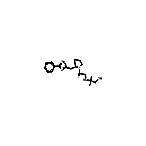 CC(C)(CO)NCC(=O)N1CCCC1Cc1nnc(-c2ccccc2)o1